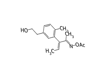 C/C=C(/C(C)=N/OC(C)=O)c1cc(CCO)ccc1C